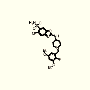 CCOc1cc(CN2CCC(Nc3nc4cc(Cl)c(S(N)(=O)=O)cc4o3)CC2)c(F)c(OCC)c1